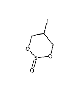 O=S1OCC(I)CO1